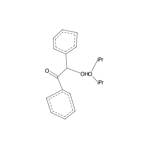 CC(C)OC(C)C.O=C(c1ccccc1)C(O)c1ccccc1